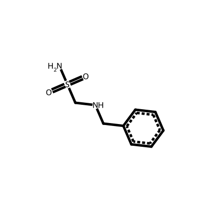 NS(=O)(=O)CNCc1ccccc1